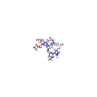 C=C[C@@H]1C[C@]1(NC(=O)[C@@H]1C[C@@H](Oc2nc(-c3cc(C)nn3C)nc3ccsc23)CN1C(=O)[C@H](CCCCCC)NC(=O)OC1CCC1)C(=O)O